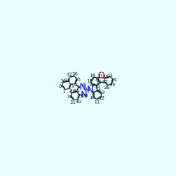 c1ccc2c(-c3nc(-n4c5ccccc5c5c6c(ccc54)oc4ccccc46)nc4ccccc34)cccc2c1